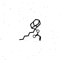 C=CC(=O)OC1(CCCCCC)C2CC3CC(C2)CC1C3